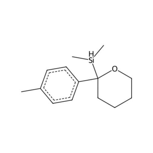 Cc1ccc(C2([SiH](C)C)CCCCO2)cc1